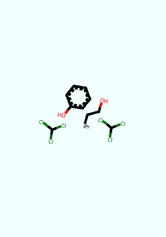 CC(C)CCO.ClC(Cl)Cl.ClC(Cl)Cl.Oc1ccccc1